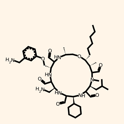 CCCCCC[C@H]1OC[C@@H](C)NC(C=O)[C@@H](COc2cccc(CN)c2)NC(C=O)[C@H](CN)NC(C=O)[C@H](C2CCCCC2)NC(C=O)[C@H](CC(C)C)N(C)C(C=O)[C@H]1C